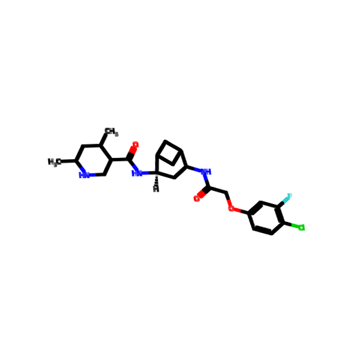 CC1CC(C)C(C(=O)N[C@@H]2CC(NC(=O)COc3ccc(Cl)c(F)c3)C3CC2C3)CN1